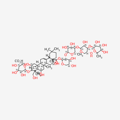 C[C@@H]1O[C@@H](O[C@@H]2[C@@H](O)[C@H](O[C@@H]3[C@@H](O)[C@@H](O)[C@H](O[C@H]4[C@H](OC(=O)[C@]56CCC(C)(C)C[C@H]5C5=CC[C@@H]7[C@@]8(C)C[C@H](O)C(O[C@@H]9O[C@H](C(=O)O)[C@@H](O)[C@H](O)[C@H]9O)[C@@](C)(CO)[C@@H]8[C@H](O)C[C@@]7(C)[C@]5(C)C[C@H]6O)OC[C@@H](O)[C@@H]4O)O[C@H]3C)OC[C@H]2O)[C@H](O)[C@H](O)[C@H]1O